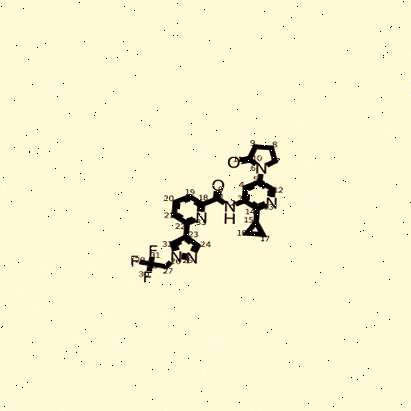 O=C(Nc1cc(N2CCCC2=O)cnc1C1CC1)c1cccc(-c2cnn(CC(F)(F)F)c2)n1